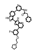 O=C(Cc1ccccc1)Nc1cncc(-c2ccc3[nH]nc(-c4nc5c(-c6cc(F)cc(OCCN7CCCC7)c6)ccnc5[nH]4)c3c2)c1